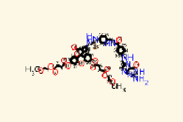 COCCOC(=O)CCC(=O)Oc1ccc2c(c1)Oc1cc(OC(=O)CCC(=O)OCCOC)ccc1C21OC(=O)c2cc(NC(=S)Nc3ccc(CNC(=O)c4ccc(NCc5cnc6nc(N)[nH]c(=O)c6n5)cc4)cc3)ccc21